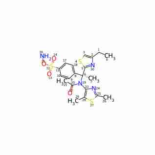 CCc1csc([C@](C)(c2ccc(S(=O)(=O)ON)cc2)N(C(C)=O)c2nc(C)sc2C)n1